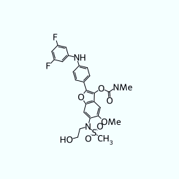 CNC(=O)Oc1c(-c2ccc(Nc3cc(F)cc(F)c3)cc2)oc2cc(N(CCO)S(C)(=O)=O)c(OC)cc12